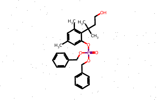 Cc1cc(C)c(C(C)(C)CCO)c(OP(=O)(OCc2ccccc2)OCc2ccccc2)c1